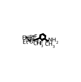 CC[Si](CC)(CC)OC(C)(C)C(F)(F)c1cccc([C@@H](C)N)c1F